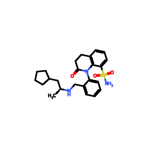 C[C@@H](CC1CCCC1)NCc1ccccc1N1C(=O)CCc2cccc(S(N)(=O)=O)c21